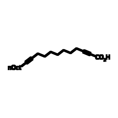 CCCCCCCCC#CCCCCCCCC#CC(=O)O